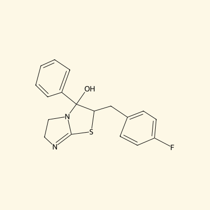 OC1(c2ccccc2)C(Cc2ccc(F)cc2)SC2=NCCN21